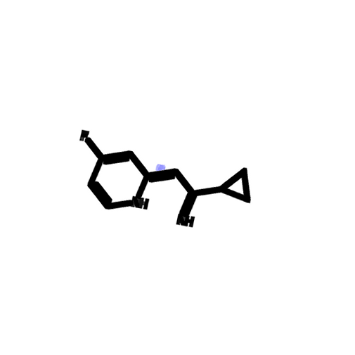 N=C(/C=C1/C=C(F)C=CN1)C1CC1